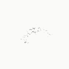 CC(c1nc2c([nH]1)CCN(C(=O)NC(C)(C)C)C2)c1nc2ccc(C(=O)NC(CP(=O)(O)O)C(=O)O)cc2n1C